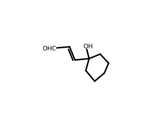 O=C/C=C/C1(O)CCCCC1